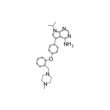 CC(C)n1cc(-c2ccc(Oc3ccccc3CN3CCN(C)CC3)cc2)c2c(N)ncnc21